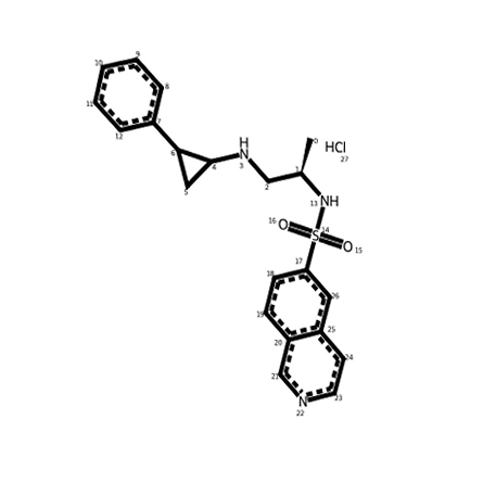 C[C@H](CNC1CC1c1ccccc1)NS(=O)(=O)c1ccc2cnccc2c1.Cl